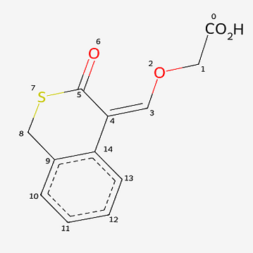 O=C(O)COC=C1C(=O)SCc2ccccc21